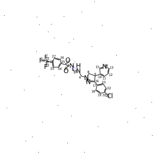 O=S(=O)(/N=C/NCN1CC(c2cccnc2)C(c2ccc(Cl)cc2)=N1)c1ccc(C(F)(F)F)cc1